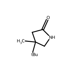 CC(C)(C)C1(C)CNC(=O)C1